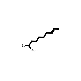 CC=CCCCCCC(CC)C(=O)O